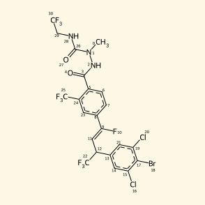 CN(NC(=O)c1ccc(C(F)=CC(c2cc(Cl)c(Br)c(Cl)c2)C(F)(F)F)cc1C(F)(F)F)C(=O)NCC(F)(F)F